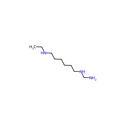 CCNCCCCCCNCN